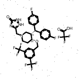 O=C(O)C(F)(F)F.O=c1nc(CN2CC[C@@H](OCc3cc(C(F)(F)F)cc(C(F)(F)F)c3)[C@@H](C(c3ccc(F)cc3)c3ccc(F)cc3)C2)[nH][nH]1